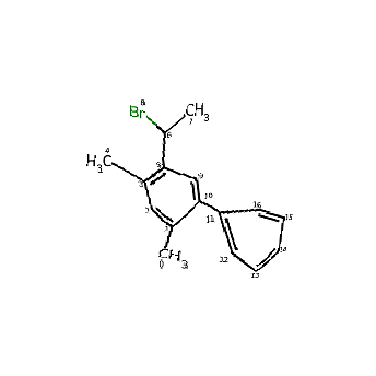 Cc1cc(C)c(C(C)Br)cc1-c1ccccc1